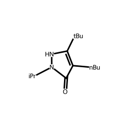 CCCCc1c(C(C)(C)C)[nH]n(C(C)C)c1=O